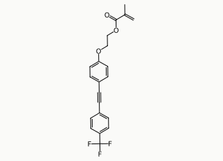 C=C(C)C(=O)OCCOc1ccc(C#Cc2ccc(C(F)(F)F)cc2)cc1